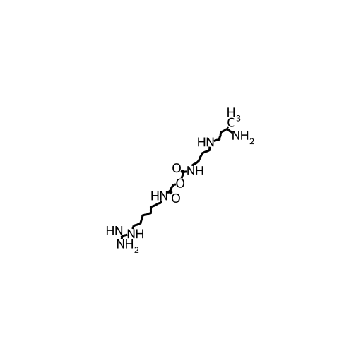 C[C@H](N)CCNCCCCNC(=O)OCC(=O)NCCCCCCNC(=N)N